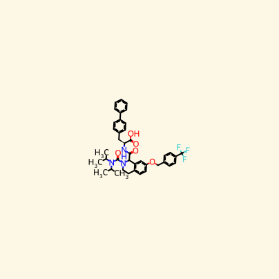 CC(C)N(C(=O)N1CCc2ccc(OCc3ccc(C(F)(F)F)cc3)cc2C1C(=O)N[C@@H](Cc1ccc(-c2ccccc2)cc1)C(=O)O)C(C)C